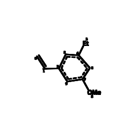 C=[C]c1cc(CC)cc(OC)c1